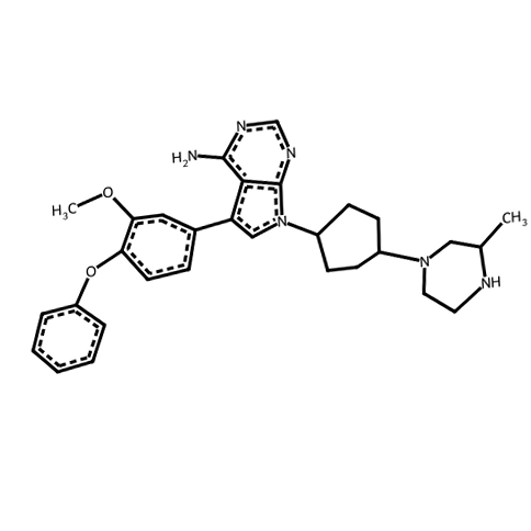 COc1cc(-c2cn(C3CCC(N4CCNC(C)C4)CC3)c3ncnc(N)c23)ccc1Oc1ccccc1